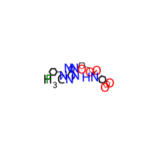 CN(Cc1cccc(F)c1)c1ncnc2c1ncn2[C@H]1CC[C@@H](COC(=O)Nc2ccc3c(c2)OCO3)O1